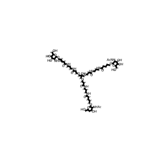 CC(=O)NC1C(O)CC(CO)OC1OCCCCC(=O)NCCCNC(=O)CCOCC(C)(COCCC(=O)NCCCNC(=O)CCCCOC1OC(CO)C(O)C(O)C1NC(C)=O)COCCC(=O)NCCCNC(=O)CCCCOC1OC(CO)C(O)C(O)C1NC(C)=O